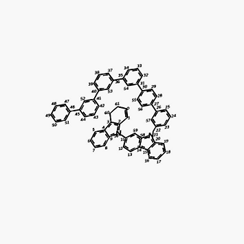 C1=Cc2c(c3ccccc3n2-c2ccc3c4ccccc4n(-c4cccc(-c5ccc(-c6cccc(-c7cccc(-c8cccc(-c9ccccc9)c8)c7)c6)cc5)c4)c3c2)CC1